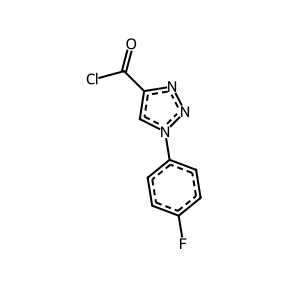 O=C(Cl)c1cn(-c2ccc(F)cc2)nn1